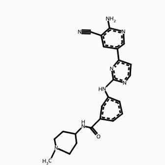 CN1CCC(NC(=O)c2cccc(Nc3nccc(-c4cnc(N)c(C#N)c4)n3)c2)CC1